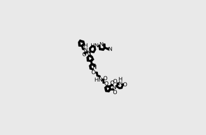 N#Cc1ccc(N[C@H]2CC[C@H](N(C(=O)NCc3ccccc3)c3ccc(-c4ccc(OCCCNC(=O)COc5cccc6c5C(=O)N(C5CCC(=O)NC5=O)C6=O)nc4)cc3)CC2)nc1